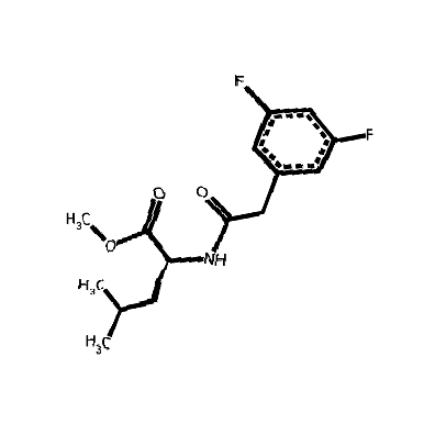 COC(=O)[C@H](CC(C)C)NC(=O)Cc1cc(F)cc(F)c1